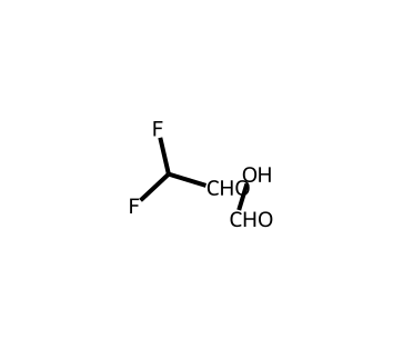 O=CC(F)F.O=CO